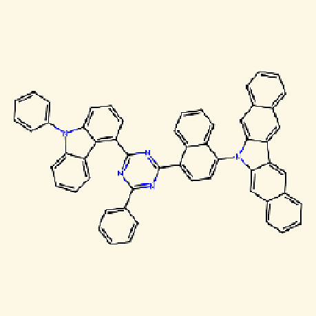 c1ccc(-c2nc(-c3ccc(-n4c5cc6ccccc6cc5c5cc6ccccc6cc54)c4ccccc34)nc(-c3cccc4c3c3ccccc3n4-c3ccccc3)n2)cc1